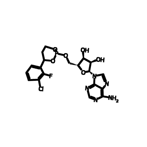 Nc1ncnc2c1ncn2[C@@H]1O[C@H](COP2OCCC(c3cccc(Cl)c3F)O2)[C@@H](O)[C@H]1O